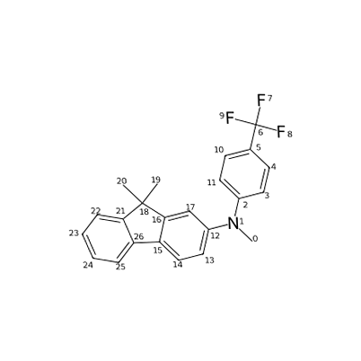 CN(c1ccc(C(F)(F)F)cc1)c1ccc2c(c1)C(C)(C)c1ccccc1-2